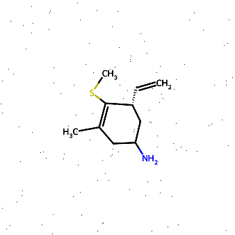 C=C[C@@H]1CC(N)CC(C)=C1SC